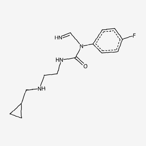 N=CN(C(=O)NCCNCC1CC1)c1ccc(F)cc1